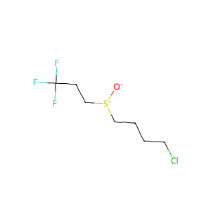 [O-][S+](CCCCCl)CCC(F)(F)F